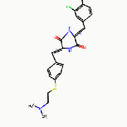 CN(C)CCSc1ccc(/C=c2\[nH]c(=O)/c(=C/c3ccc(Cl)c(Cl)c3)[nH]c2=O)cc1